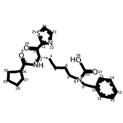 O=C(N[C@@H](CCCCN(Cc1ccccc1)C(=O)O)C(=O)c1nccs1)C1CCCC1